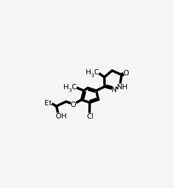 CCC(O)COc1c(C)cc(C2=NNC(=O)CC2C)cc1Cl